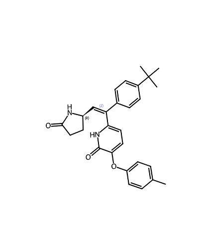 Cc1ccc(Oc2ccc(/C(=C\[C@H]3CCC(=O)N3)c3ccc(C(C)(C)C)cc3)[nH]c2=O)cc1